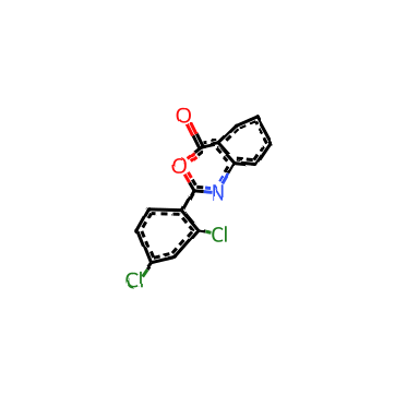 O=c1oc(-c2ccc(Cl)cc2Cl)nc2ccccc12